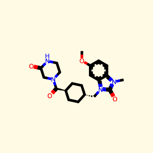 COc1ccc2c(c1)n(C[C@H]1CC[C@H](C(=O)N3CCNC(=O)C3)CC1)c(=O)n2C